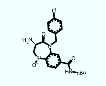 CCCCNC(=O)c1ccc2c(c1)N(Cc1ccc(Cl)cc1)C(=O)[C@@H](N)C[S+]2[O-]